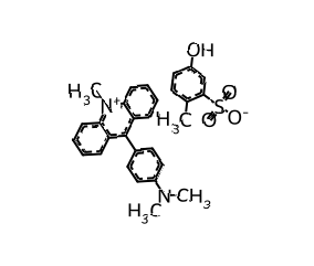 CN(C)c1ccc(-c2c3ccccc3[n+](C)c3ccccc23)cc1.Cc1ccc(O)cc1S(=O)(=O)[O-]